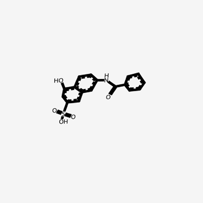 O=C(Nc1ccc2c(O)cc(S(=O)(=O)O)cc2c1)c1ccccc1